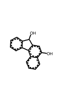 Oc1cc2c(c3ccccc13)-c1ccccc1C2O